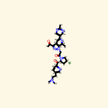 CC(=O)c1nn(CC(=O)N2C[C@H](F)C[C@H]2C(=O)c2ccc(CCN(C)C)cn2)c2c(C)nc(-c3cnc(C)nc3)cc12